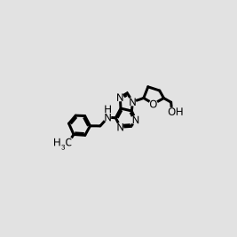 Cc1cccc(CNc2ncnc3c2ncn3C2CCC(CO)O2)c1